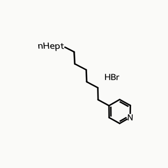 Br.CCCCCCCCCCCCCc1ccncc1